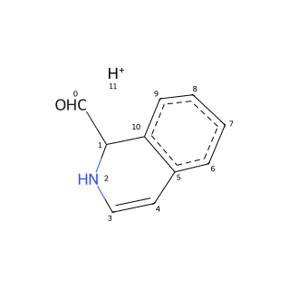 O=CC1NC=Cc2ccccc21.[H+]